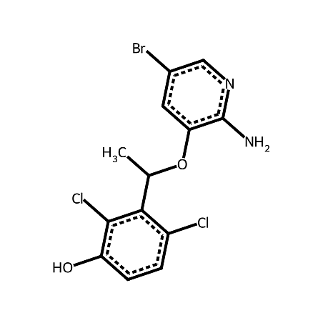 CC(Oc1cc(Br)cnc1N)c1c(Cl)ccc(O)c1Cl